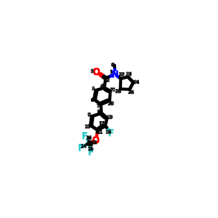 CN(C(=O)c1ccc(-c2ccc(OC(F)(F)F)c(F)c2)cc1)C1CCCC1